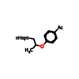 CCCCCCCCC(C)Oc1ccc(C(C)=O)cc1